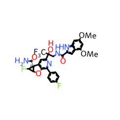 COc1cc(OC)c2cc(C(=O)NCC(O)(c3cc4c(c(-c5ccc(F)cc5)n3)OC3C(F)[C@@]43C(N)=O)C(F)(F)F)[nH]c2c1